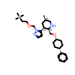 C[C@H]1CN[C@@H](CO[C@H]2CC[C@@H](c3ccccc3)CC2)[C@@H](c2ccnn2COCC[Si](C)(C)C)C1